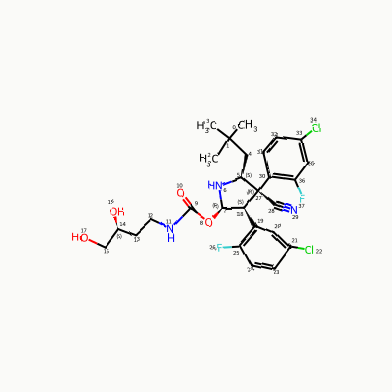 CC(C)(C)C[C@@H]1N[C@H](OC(=O)NCC[C@H](O)CO)[C@H](c2cc(Cl)ccc2F)[C@@]1(C#N)c1ccc(Cl)cc1F